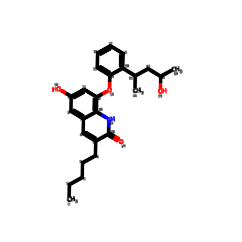 CCCCCc1cc2cc(O)cc(Oc3ccccc3C(C)CC(C)O)c2[nH]c1=O